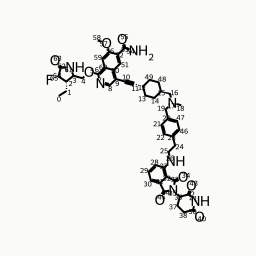 CC[C@H]1C(COc2ncc(C#C[C@H]3CC[C@H](CN(C)Cc4ccc(CCNc5cccc6c5C(=O)N(C5CCC(=O)NC5=O)C6=O)cc4)CC3)c3cc(C(N)=O)c(OC)cc23)NC(=O)[C@H]1F